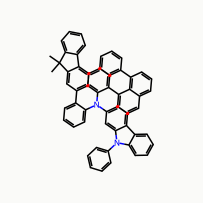 CC1(C)c2ccccc2-c2ccc(-c3ccccc3N(c3ccc4c5ccccc5n(-c5ccccc5)c4c3)c3ccccc3-c3cccc4cccc(-c5ccccc5)c34)cc21